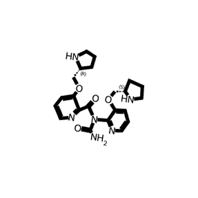 NC(=O)N(C(=O)c1ncccc1OC[C@H]1CCCN1)c1ncccc1OC[C@@H]1CCCN1